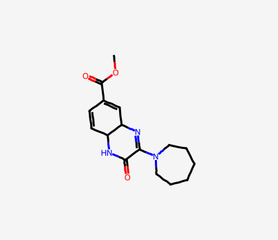 COC(=O)C1=CC2N=C(N3CCCCCC3)C(=O)NC2C=C1